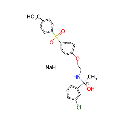 C[C@@](O)(NCCOc1ccc(S(=O)(=O)c2ccc(C(=O)O)cc2)cc1)c1cccc(Cl)c1.[NaH]